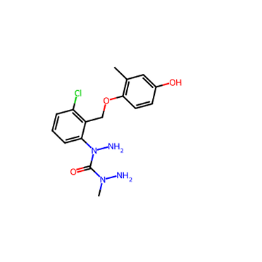 Cc1cc(O)ccc1OCc1c(Cl)cccc1N(N)C(=O)N(C)N